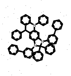 c1ccc(-c2cccc(N3c4cc5c(cc4N(c4cccc(-c6ccccc6)c4)C3(c3ccccc3)c3ccccc3)N(c3ccccc3)c3ccccc3C5c3ccccc3)c2)cc1